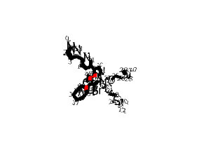 Cn1ccc(-c2ccc(-c3cnn4c(N(COCC[Si](C)(C)C)COCC[Si](C)(C)C)c(Br)c(C5CC6CCC(C5)N6C(=O)OC(C)(C)C)nc34)cn2)n1